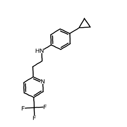 FC(F)(F)c1ccc(CCNc2ccc(C3CC3)cc2)nc1